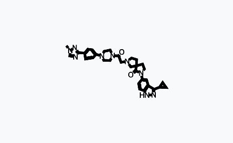 Cn1cnc(-c2ccc(N3CCN(C(=O)CN4CCC5(CCN(c6ccc7[nH]nc(C8CC8)c7c6)C5=O)C4)CC3)cc2)n1